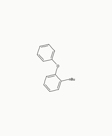 [CH2]CCCc1ccccc1Oc1ccccc1